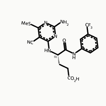 CSc1nc(N)nc(N[C@@H](CCC(=O)O)C(=O)Nc2cccc(C(F)(F)F)c2)c1C#N